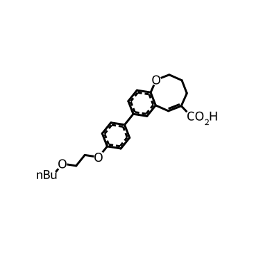 CCCCOCCOc1ccc(-c2ccc3c(c2)C=C(C(=O)O)CCCO3)cc1